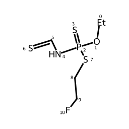 CCOP(=S)(NC=S)SCCF